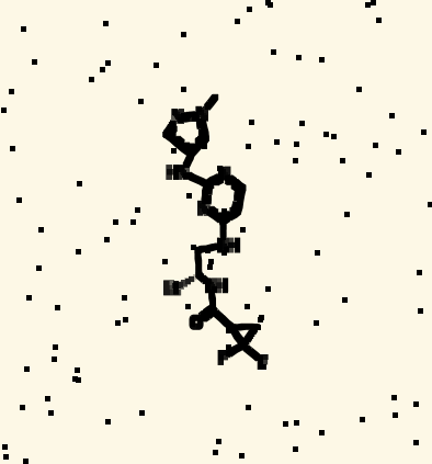 CC[C@H](CNc1ccnc(Nc2cnn(C)c2)n1)NC(=O)C1CC1(F)F